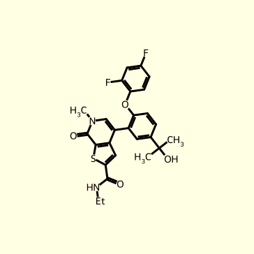 CCNC(=O)c1cc2c(-c3cc(C(C)(C)O)ccc3Oc3ccc(F)cc3F)cn(C)c(=O)c2s1